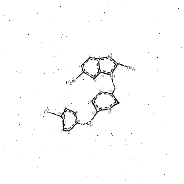 Nc1ccc2nc(N)n(Cc3ccc(Oc4ccc(Cl)cc4)nc3)c2c1